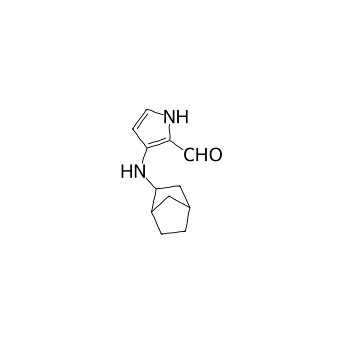 O=Cc1[nH]ccc1NC1CC2CCC1C2